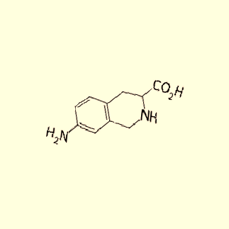 Nc1ccc2c(c1)CNC(C(=O)O)C2